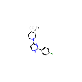 CCOC(=O)C1CCN(c2ccnc(-c3ccc(F)cc3)n2)CC1